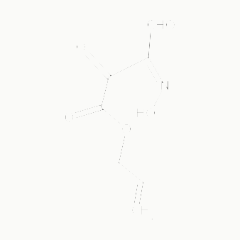 C=CCOC(=O)C(=O)C(C=O)=NO